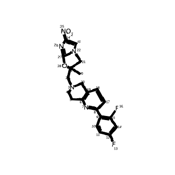 CC1(CN2CCc3nc(-c4ccc(F)cc4F)ccc3C2)Cn2cc([N+](=O)[O-])nc2O1